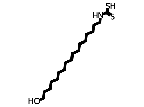 OCCCCCCCCCCCCCCCCCNC(=S)S